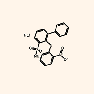 Cl.NS(=O)(=O)c1cccc(-c2ccccc2)c1Sc1ccccc1[N+](=O)[O-]